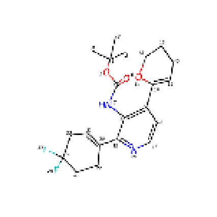 CC(C)(C)OC(=O)Nc1c(C2=CCCCO2)ccnc1C1=CCC(F)(F)CC1